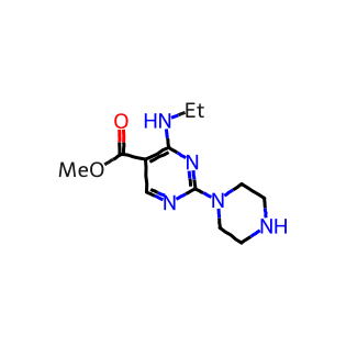 CCNc1nc(N2CCNCC2)ncc1C(=O)OC